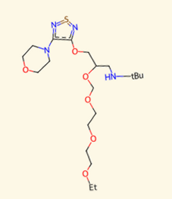 CCOCCOCCOCOC(CNC(C)(C)C)COc1nsnc1N1CCOCC1